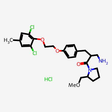 COCC1CCCN1C(=O)C(CN)Cc1ccc(OCCOc2c(Cl)cc(C)cc2Cl)cc1.Cl